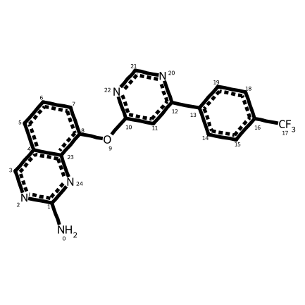 Nc1ncc2cccc(Oc3cc(-c4ccc(C(F)(F)F)cc4)ncn3)c2n1